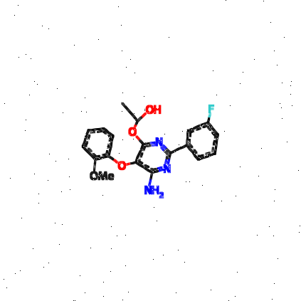 COc1ccccc1Oc1c(N)nc(-c2cccc(F)c2)nc1OC(C)O